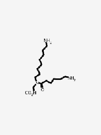 NCCCCCCCCN(CC(=O)O)C(=O)CCCCCN